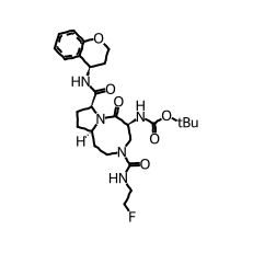 CC(C)(C)OC(=O)N[C@H]1CN(C(=O)NCCF)CC[C@H]2CC[C@@H](C(=O)N[C@@H]3CCOc4ccccc43)N2C1=O